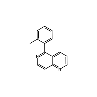 Cc1ccccc1-c1nccc2ncccc12